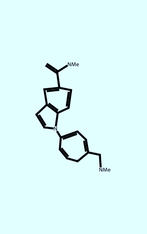 C=C(NC)c1ccc2c(ccn2C2=CC=C(CNC)CC=C2)c1